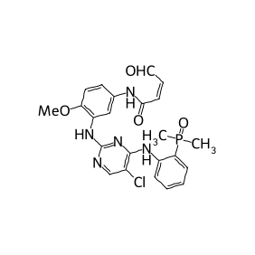 COc1ccc(NC(=O)/C=C\C=O)cc1Nc1ncc(Cl)c(Nc2ccccc2P(C)(C)=O)n1